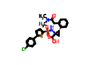 CN(C)C(=O)Cc1ccccc1[C@@H]1C[C@]1(NS(=O)(=O)c1ccc(-c2ccc(Cl)cc2)s1)C(=O)O